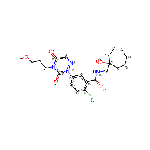 COCCCn1c(=O)cnn(-c2ccc(Cl)c(C(=O)NCC3(O)CCCCCC3)c2)c1=O